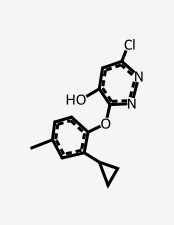 Cc1ccc(Oc2nnc(Cl)cc2O)c(C2CC2)c1